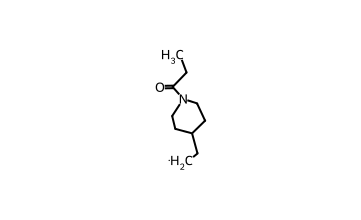 [CH2]CC1CCN(C(=O)CC)CC1